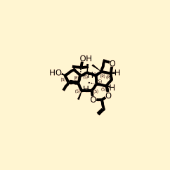 C=CC1O[C@H]2C[C@H]3OC[C@@]3(C)[C@H]3[C@H](C)[C@]4(C(C)(C)O)C[C@H](O)C(C)=C4[C@H](C)[C@H](O1)[C@]23C